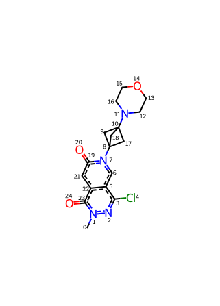 Cn1nc(Cl)c2cn(C34CC(N5CCOCC5)(C3)C4)c(=O)cc2c1=O